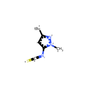 Cn1nc(C(C)(C)C)cc1N=C=S